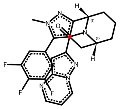 Cn1nc2c(c1-c1cc(F)c(F)c(F)c1)C[C@H]1CCC[C@@H]2N1C(=O)c1cc2ncccn2n1